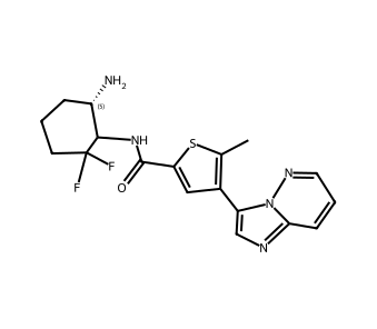 Cc1sc(C(=O)NC2[C@@H](N)CCCC2(F)F)cc1-c1cnc2cccnn12